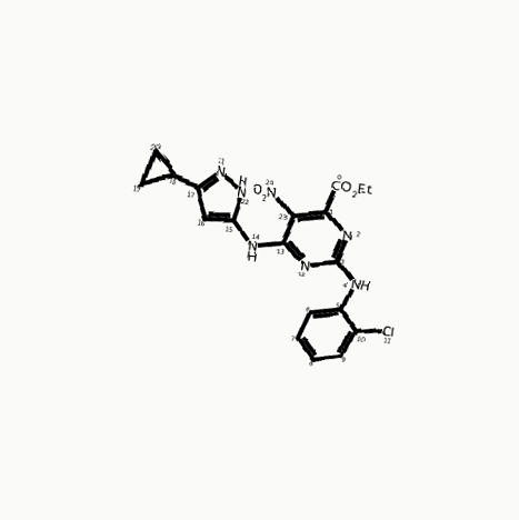 CCOC(=O)c1nc(Nc2ccccc2Cl)nc(Nc2cc(C3CC3)n[nH]2)c1[N+](=O)[O-]